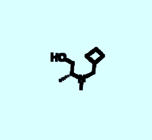 C[C@H](CO)N(C)CC1CCC1